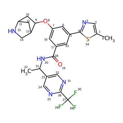 Cc1cnc(-c2cc(OC3CC4CC3CN4)cc(C(=O)NC(C)c3cnc(C(F)(F)F)nc3)c2)s1